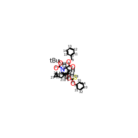 CC(C)(C)OC(=O)N1[C@H](C(=O)OCc2ccccc2)[C@@H]2CC[C@H]1[C@H](CC1CC1)[C@H]2OC(=S)Oc1ccccc1